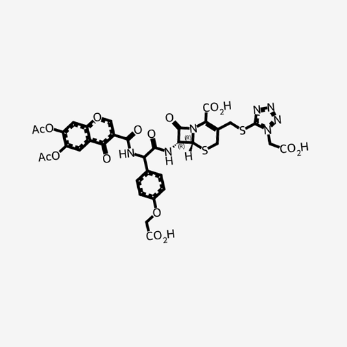 CC(=O)Oc1cc2occ(C(=O)NC(C(=O)N[C@@H]3C(=O)N4C(C(=O)O)=C(CSc5nnnn5CC(=O)O)CS[C@H]34)c3ccc(OCC(=O)O)cc3)c(=O)c2cc1OC(C)=O